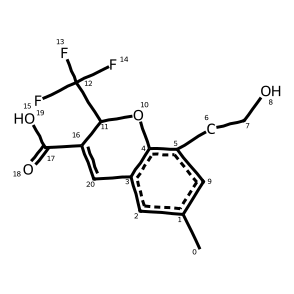 Cc1cc2c(c(CCO)c1)OC(C(F)(F)F)C(C(=O)O)=C2